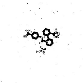 CS(=O)(=O)O.N=C(N)c1ccc(NC(=O)c2ccccc2-c2ccccc2-c2nnn[nH]2)cc1